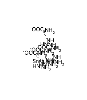 N=C(N)NCCC[C@H](N)C(=O)[O-].N=C(N)NCCC[C@H](N)C(=O)[O-].N=C(N)NCCC[C@H](N)C(=O)[O-].N=C(N)NCCC[C@H](N)C(=O)[O-].[Sn+4]